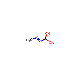 CN=NC(O)O